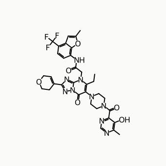 CCc1c(N2CCN(C(=O)c3ncnc(C)c3O)CC2)c(=O)n2nc(C3=CCOCC3)nc2n1CC(=O)Nc1ccc(C(F)(F)F)c2cc(C)oc12